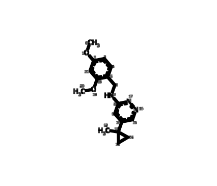 COc1ccc(CNc2cc(C3(C)CC3)cnn2)c(OC)c1